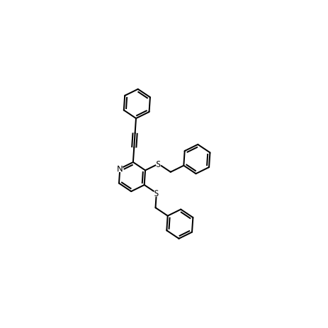 C(#Cc1nccc(SCc2ccccc2)c1SCc1ccccc1)c1ccccc1